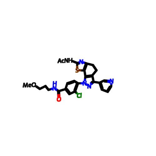 COCCCNC(=O)c1ccc(-n2nc(-c3cccnc3)c3c2-c2sc(NC(C)=O)nc2CC3)c(Cl)c1